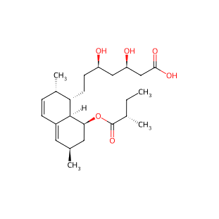 CC[C@H](C)C(=O)O[C@H]1C[C@@H](C)C=C2C=C[C@H](C)[C@H](CC[C@@H](O)C[C@@H](O)CC(=O)O)[C@H]21